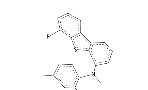 Cc1ccc(N(C)c2cccc3c2sc2c(F)cccc23)c(C)c1